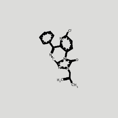 C=C(C)Cn1nc2n(c1=O)-c1ccc(Cl)nc1C(c1ccccc1)=NC2